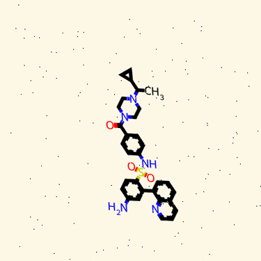 CC(C1CC1)N1CCN(C(=O)c2ccc(NS(=O)(=O)c3ccc(N)cc3-c3cccc4cccnc34)cc2)CC1